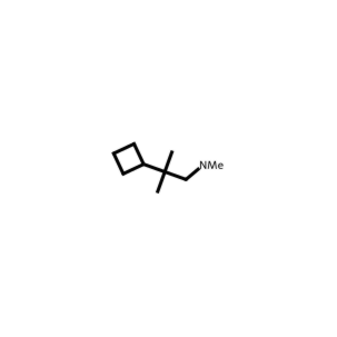 CNCC(C)(C)C1CCC1